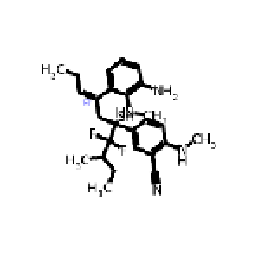 CC/C=C(/CC(S)(c1ccc(NC)c(C#N)c1)C(F)(F)C(C)CC)c1cccc(N)c1NC